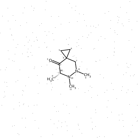 C[C@@H]1C(=O)C2(CC2)CN(C)N1C